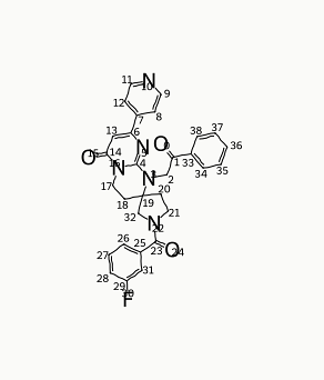 O=C(CN1c2nc(-c3ccncc3)cc(=O)n2CCC12CCN(C(=O)c1cccc(F)c1)C2)c1ccccc1